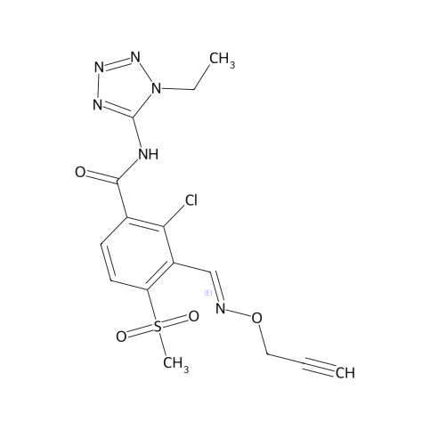 C#CCO/N=C/c1c(S(C)(=O)=O)ccc(C(=O)Nc2nnnn2CC)c1Cl